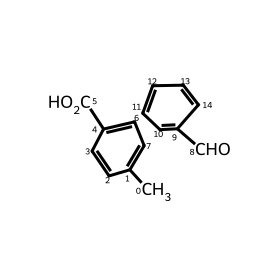 Cc1ccc(C(=O)O)cc1.O=Cc1ccccc1